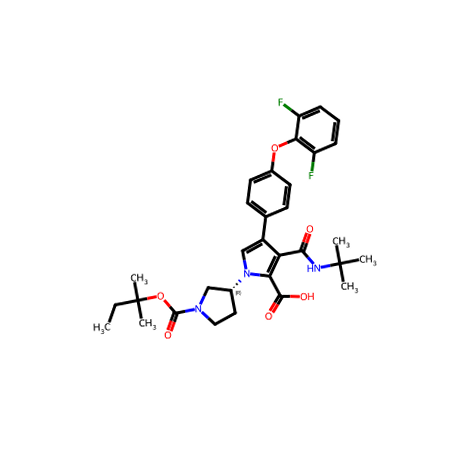 CCC(C)(C)OC(=O)N1CC[C@@H](n2cc(-c3ccc(Oc4c(F)cccc4F)cc3)c(C(=O)NC(C)(C)C)c2C(=O)O)C1